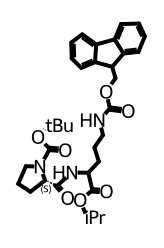 CC(C)OC(=O)C(CCCNC(=O)OCC1c2ccccc2-c2ccccc21)NC(=O)[C@@H]1CCCN1C(=O)OC(C)(C)C